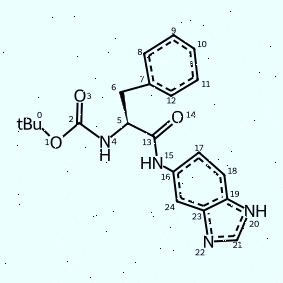 CC(C)(C)OC(=O)N[C@@H](Cc1ccccc1)C(=O)Nc1ccc2[nH]cnc2c1